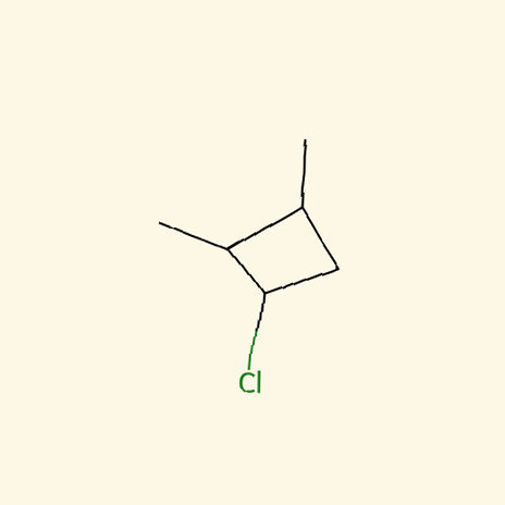 CC1CC(Cl)C1C